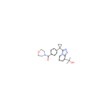 CC(C)(O)c1cccn2c(C3(c4ccc(C(=O)N5CCOCC5)cc4)CC3)nnc12